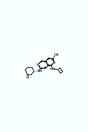 N#Cc1cc2cnc(N[C@H]3CCCNC3)cc2c(NC2CCC2)n1